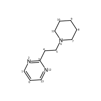 c1cnc(CCN2CCCCC2)nc1